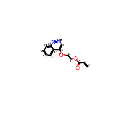 C=CC(=O)OCCOc1cnnc2ccccc12